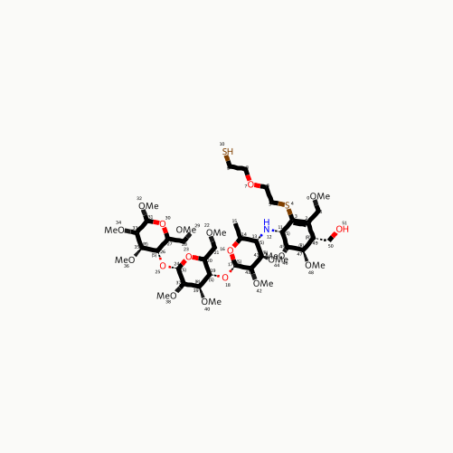 COCC1=C(SCCOCCS)[C@@H](N[C@H]2C(C)O[C@@H](O[C@H]3C(COC)O[C@@H](O[C@H]4C(COC)OC(OC)C(OC)[C@@H]4OC)C(OC)[C@@H]3OC)C(OC)[C@@H]2OC)C(OC)[C@H](OC)[C@H]1CO